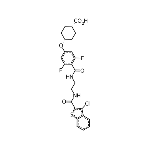 O=C(NCCNC(=O)c1c(F)cc(O[C@H]2CC[C@@H](C(=O)O)CC2)cc1F)c1sc2ccccc2c1Cl